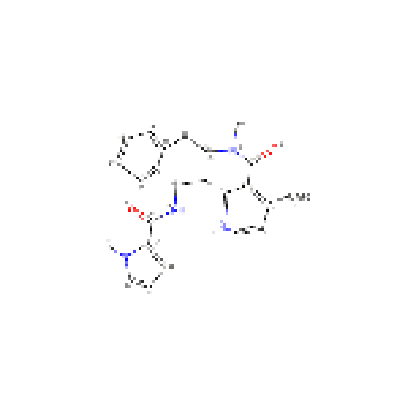 COc1ccncc1C(=O)N(C)[C@H](CCNC(=O)c1cccn1C)Cc1ccccc1